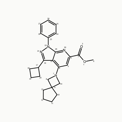 COC(=O)c1cc(N2CC3(CCCC3)C2)c2c(C3CCC3)nn(-c3ccccc3)c2n1